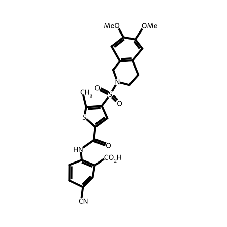 COc1cc2c(cc1OC)CN(S(=O)(=O)c1cc(C(=O)Nc3ccc(C#N)cc3C(=O)O)sc1C)CC2